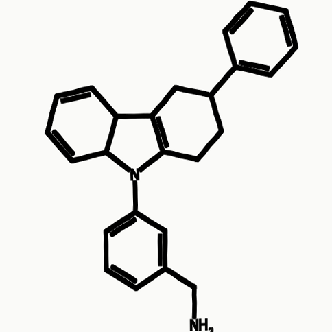 NCc1cccc(N2C3=C(CC(c4ccccc4)CC3)C3C=CC=CC32)c1